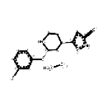 CC(=O)O.O=c1cc([C@@H]2CCN[C@@H](Cc3cccc(F)c3)C2)o[nH]1